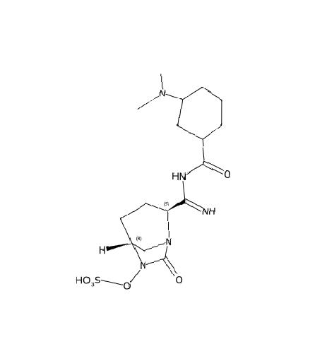 CN(C)C1CCCC(C(=O)NC(=N)[C@@H]2CC[C@@H]3CN2C(=O)N3OS(=O)(=O)O)C1